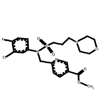 COC(=O)c1ccc(CN(c2ccc(F)c(Cl)c2)S(=O)(=O)CCCN2CCOCC2)nc1